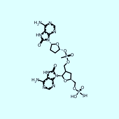 CP(=O)(OCC1C[C@@H](COP(=O)(O)S)O[C@H]1n1c(=O)[nH]c2c(N)ncnc21)O[C@@H]1CC[C@H](n2c(=O)[nH]c3c(N)ncnc32)O1